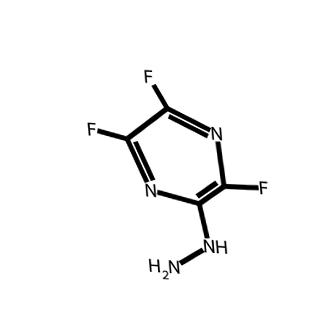 NNc1nc(F)c(F)nc1F